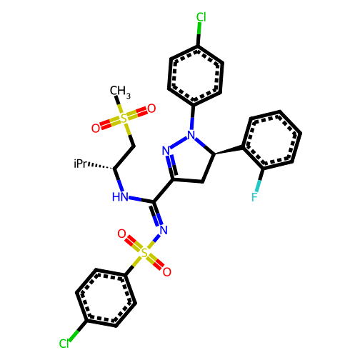 CC(C)[C@H](CS(C)(=O)=O)N/C(=N\S(=O)(=O)c1ccc(Cl)cc1)C1=NN(c2ccc(Cl)cc2)[C@@H](c2ccccc2F)C1